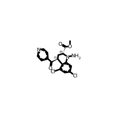 COC(=O)[C@H]1C[C@H](C(=O)c2ccncc2)c2c(Cl)cc(Cl)cc2N1N